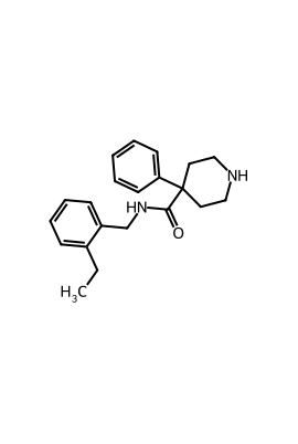 CCc1ccccc1CNC(=O)C1(c2ccccc2)CCNCC1